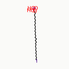 O=P(O)(O)OCCCCCCCCCCCCCCCCCCCCCCCCCCCCCCCI